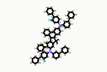 CC1(C)c2cc(N(c3cccc(-c4ccccc4)c3)c3ccc(-c4ccccc4)c(F)c3)c3c(sc4ccccc43)c2-c2c1c1ccc(N(c3cccc(-c4ccccc4)c3)c3ccc(-c4ccccc4)c(F)c3)cc1c1ccccc21